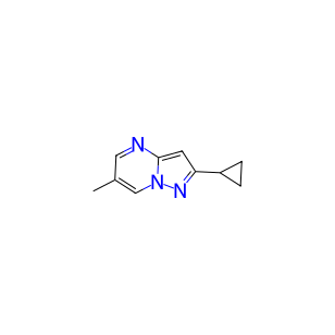 Cc1cnc2cc(C3CC3)nn2c1